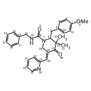 COc1ccc(CC2N(C(=O)NCc3ccccc3)CC(=Cc3ccccn3)C(=O)C2(C)C)cc1